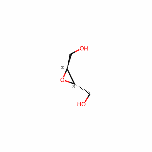 OC[C@@H]1O[C@H]1CO